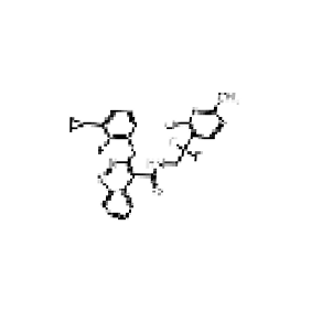 Cc1ccc(C(F)(F)CNC(=O)c2c(Sc3cccc(C4CC4)c3F)nnc3ccccc23)c(Cl)c1